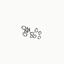 c1ccc(-c2cccc(-c3cccc(-c4cc(-c5nc6ccccc6n5-c5ccccc5)cc5oc6ccccc6c45)c3)c2)cc1